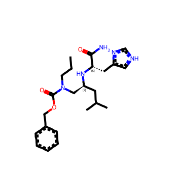 CCCN(C[C@H](CC(C)C)N[C@@H](Cc1c[nH]cn1)C(N)=O)C(=O)OCc1ccccc1